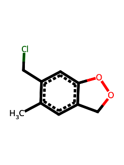 Cc1cc2c(cc1CCl)OOC2